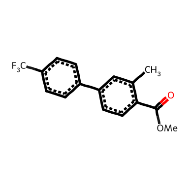 COC(=O)c1ccc(-c2ccc(C(F)(F)F)cc2)cc1C